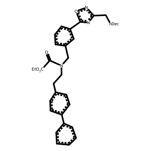 CCCCCCCCCCCc1noc(-c2cccc(CN(CCc3ccc(-c4ccccc4)cc3)C(=O)C(=O)OCC)c2)n1